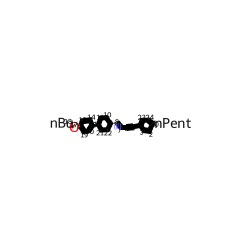 CCCCCc1ccc(C#C/C=C/[C@H]2CC[C@H](c3ccc(OCCCC)cc3)CC2)cc1